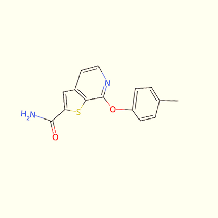 Cc1ccc(Oc2nccc3cc(C(N)=O)sc23)cc1